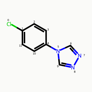 Clc1ccc(-n2[c]nnc2)cc1